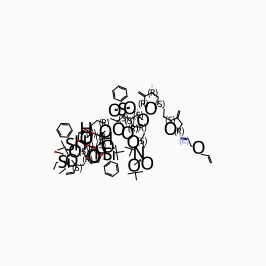 C=CCOC/C=C/[C@H]1CC(=C)[C@H](CC[C@H]2C[C@@H](C)C(=C)[C@@H](C[C@@H]3O[C@H](C[C@H]4CN(C(=O)OC(C)(C)C)C(C)(C)O4)[C@H](OC)[C@H]3[C@@H](C(=O)C[C@H]3CC[C@@H]4O[C@@H]5[C@@H](O[C@H](C[C@@H](C=C)O[Si](CC)(CC)CC)[C@@H]5O[Si](c5ccccc5)(c5ccccc5)C(C)(C)C)[C@@H](O[Si](c5ccccc5)(c5ccccc5)C(C)(C)C)[C@H]4O3)S(=O)(=O)c3ccccc3)O2)O1